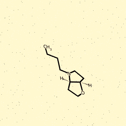 CCCCN1CC[C@H]2OCC[C@H]21